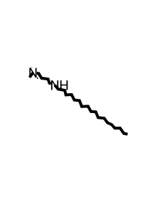 CCCCCCCCCCCCCCCCCCNCC[CH]CN(C)C